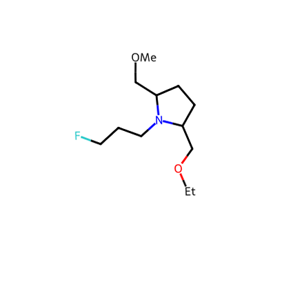 CCOCC1CCC(COC)N1CCCF